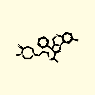 CC(=O)C1=NN2c3cc(F)ccc3OCC2[C@@]1(c1ccccc1)C(C)CCN1CCC(=O)N(C)CC1